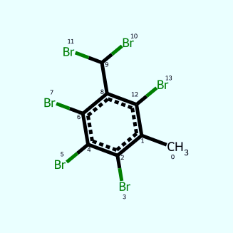 Cc1c(Br)c(Br)c(Br)c(C(Br)Br)c1Br